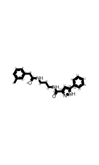 Cc1cccc(CC(=O)NCCCNC(=O)c2cc(-c3ccccc3)[nH]n2)c1